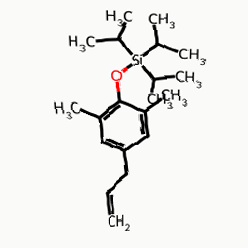 C=CCc1cc(C)c(O[Si](C(C)C)(C(C)C)C(C)C)c(C)c1